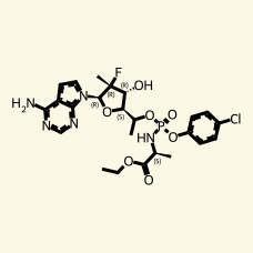 CCOC(=O)[C@H](C)NP(=O)(Oc1ccc(Cl)cc1)OC(C)[C@H]1O[C@@H](n2ccc3c(N)ncnc32)[C@](C)(F)[C@@H]1O